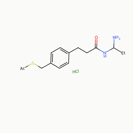 CCC(N)NC(=O)CCc1ccc(CSC(C)=O)cc1.Cl